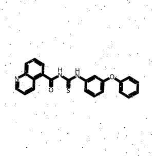 O=C(NC(=S)Nc1cccc(Oc2ccccc2)c1)c1cccc2ncccc12